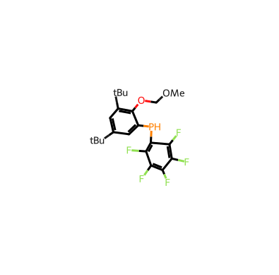 COCOc1c(Pc2c(F)c(F)c(F)c(F)c2F)cc(C(C)(C)C)cc1C(C)(C)C